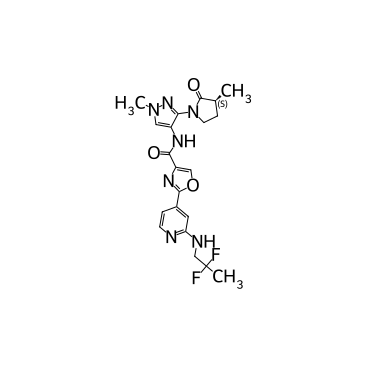 C[C@H]1CCN(c2nn(C)cc2NC(=O)c2coc(-c3ccnc(NCC(C)(F)F)c3)n2)C1=O